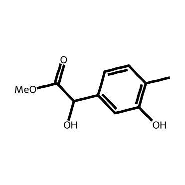 COC(=O)C(O)c1ccc(C)c(O)c1